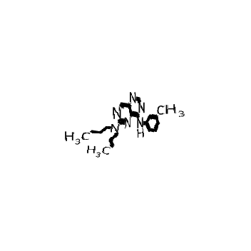 CCCCN(CCCC)c1ncc2ncnc(Nc3cccc(C)c3)c2n1